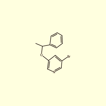 CC(Oc1cncc(Br)c1)c1ccccc1